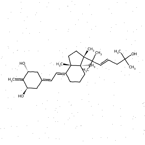 C=C1[C@H](O)CC(=C/C=C2\CCC[C@@]3(C)[C@@]2(C)CC[C@]3(C)C(C)(C)/C=C/CC(C)(C)O)C[C@H]1O